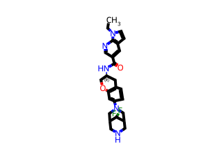 CCn1ccc2cc(C(=O)N[C@H]3COc4cc(N5CC6CNCC(C5)C6(F)F)ccc4C3)cnc21